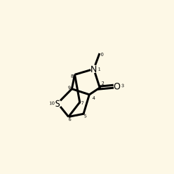 CN1C(=O)C2CC3CC1C2S3